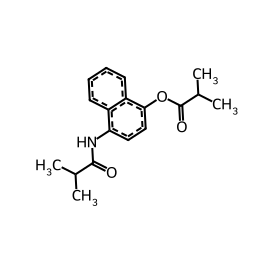 CC(C)C(=O)Nc1ccc(OC(=O)C(C)C)c2ccccc12